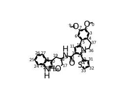 COc1cc2c(cc1OC)-c1cc(C(=O)NC(CO)Cc3c[nH]c4ccccc34)c(-c3cccs3)n1CC2